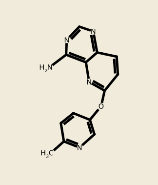 Cc1ccc(Oc2ccc3ncnc(N)c3n2)cn1